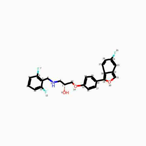 O[C@H](CNCc1c(F)cccc1F)COc1ccc(-c2occ3cc(F)ccc23)cc1